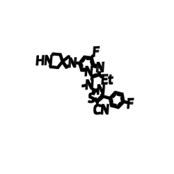 CCc1nc2c(F)cc(N3CC4(CCNCC4)C3)cn2c1N(C)c1nc(-c2ccc(F)cc2)c(C#N)s1